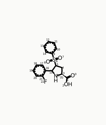 O=C(O)[C@@H]1CC(S(=O)(=O)c2ccccc2)C(c2ccccc2F)N1